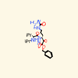 CC(C)N[C@H](C(=O)N[C@@H](CCCNC(N)=O)C(=O)C(=O)OCc1ccccc1)C(C)C